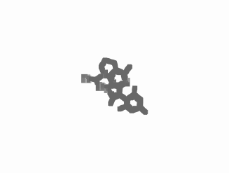 CCC(CC)N1CCCc2c(C)nc3c(-c4c(C)cc(C)cc4C)c(C)nn3c21